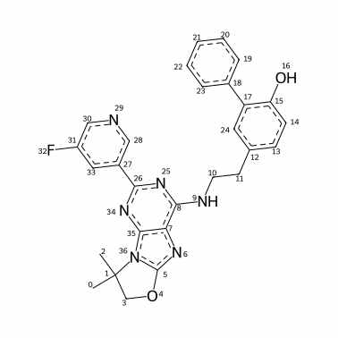 CC1(C)COc2nc3c(NCCc4ccc(O)c(-c5ccccc5)c4)nc(-c4cncc(F)c4)nc3n21